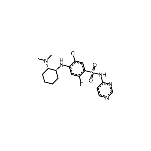 CN(C)[C@H]1CCCC[C@@H]1Nc1cc(F)c(S(=O)(=O)Nc2ccncn2)cc1Cl